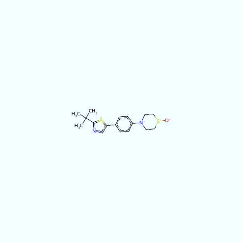 CC(C)(C)c1ncc(-c2ccc(N3CC[S+]([O-])CC3)cc2)s1